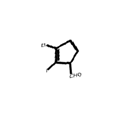 CCC1=C(I)C(C=O)CC1